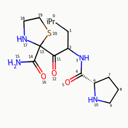 CC(C)CC(NC(=O)[C@@H]1CCCN1)C(=O)C1(C(N)=O)NCCS1